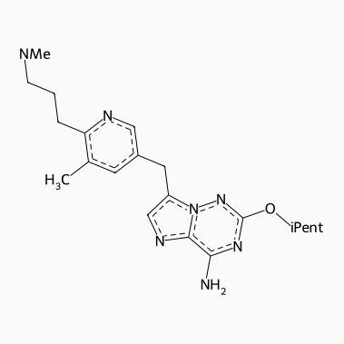 CCCC(C)Oc1nc(N)c2ncc(Cc3cnc(CCCNC)c(C)c3)n2n1